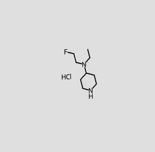 CCN(CCF)C1CCNCC1.Cl